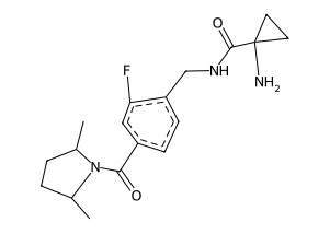 CC1CCC(C)N1C(=O)c1ccc(CNC(=O)C2(N)CC2)c(F)c1